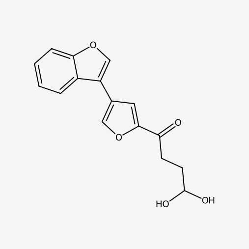 O=C(CCC(O)O)c1cc(-c2coc3ccccc23)co1